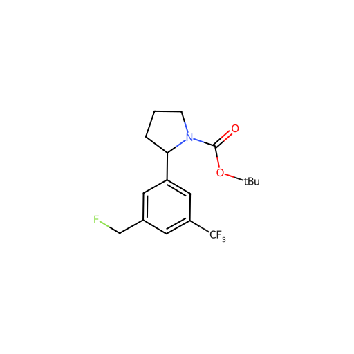 CC(C)(C)OC(=O)N1CCCC1c1cc(CF)cc(C(F)(F)F)c1